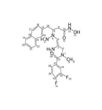 CN(C/C(N)=C/N(N)C(CC(=O)NO)Cc1ccc2ccccc2c1)C(=O)c1ccc(F)c(F)c1